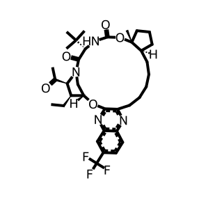 CC[C@@H]1[C@@H]2CN(C(=O)[C@H](C(C)(C)C)NC(=O)O[C@]3(C)CCC[C@H]3CCCCCc3nc4ccc(C(F)(F)F)cc4nc3O2)[C@@H]1C(C)=O